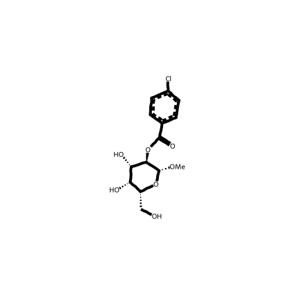 CO[C@@H]1O[C@H](CO)[C@H](O)[C@H](O)[C@H]1OC(=O)c1ccc(Cl)cc1